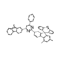 Cc1cc(C)c2c(c1)C1(C3=C2C=CC(c2nc(-c4ccccc4)cc(-c4ccc5c(c4)sc4ccccc45)n2)C3)c2ccccc2Sc2ccccc21